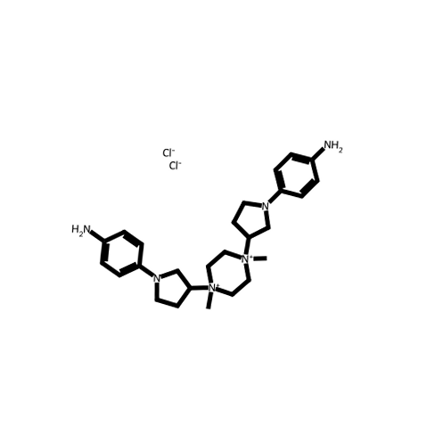 C[N+]1(C2CCN(c3ccc(N)cc3)C2)CC[N+](C)(C2CCN(c3ccc(N)cc3)C2)CC1.[Cl-].[Cl-]